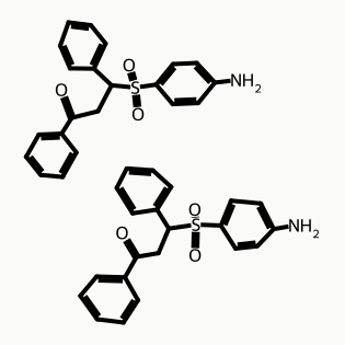 Nc1ccc(S(=O)(=O)C(CC(=O)c2ccccc2)c2ccccc2)cc1.Nc1ccc(S(=O)(=O)C(CC(=O)c2ccccc2)c2ccccc2)cc1